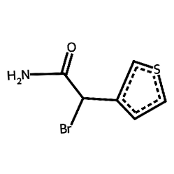 NC(=O)C(Br)c1ccsc1